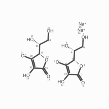 O=C1O[C@@H]([C@H](O)CO)C([O-])=C1O.O=C1O[C@@H]([C@H](O)CO)C([O-])=C1O.[Na+].[Na+]